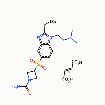 CN(C)CCn1c(CC(C)(C)C)nc2cc(S(=O)(=O)C3CN(C(N)=O)C3)ccc21.O=C(O)/C=C/C(=O)O